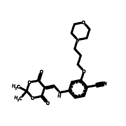 CC1(C)OC(=O)C(=CNc2ccc(C#N)c(OCCCN3CCOCC3)c2)C(=O)O1